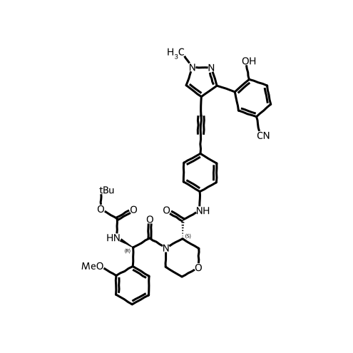 COc1ccccc1[C@@H](NC(=O)OC(C)(C)C)C(=O)N1CCOC[C@H]1C(=O)Nc1ccc(C#Cc2cn(C)nc2-c2cc(C#N)ccc2O)cc1